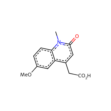 COc1ccc2c(c1)c(CC(=O)O)cc(=O)n2C